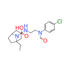 CCC12CCC(CC(NCCN(C=O)c3ccc(Cl)cc3)C1)N2C(=O)O